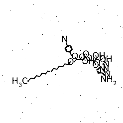 CCCCCCCCCCCCCCCCOC[C@H](COP(=O)(O)OC[C@H]1O[C@@](C#N)(c2ccc3c(N)ncnn23)[C@H](O)[C@@H]1O)OCc1ccc(C#N)cc1